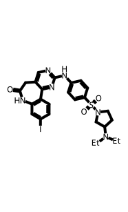 CCN(CC)C1CCN(S(=O)(=O)c2ccc(Nc3ncc4c(n3)-c3ccc(I)cc3NC(=O)C4)cc2)C1